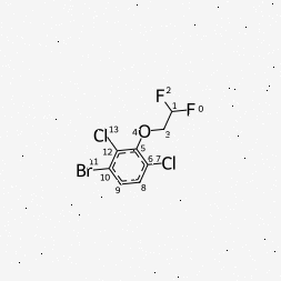 FC(F)COc1c(Cl)ccc(Br)c1Cl